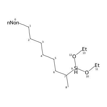 CCCCCCCCCCCCCCCC(C)[SiH](OCC)OCC